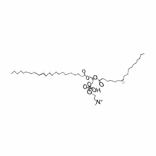 CCCCCCCCCC/C=C\CCCCCC(=O)O[C@H](COC(=O)CCCCCCCCCCCCCCCCCCCCC)COP(=O)(O)OCC[N+](C)(C)C